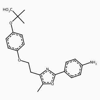 Cc1oc(-c2ccc(N)cc2)nc1CCOc1ccc(OC(C)(C)C(=O)O)cc1